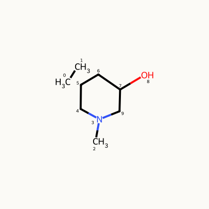 CC.CN1CCCC(O)C1